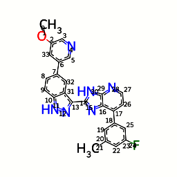 COc1cncc(-c2ccc3[nH]nc(-c4nc5c(-c6cc(C)cc(F)c6)ccnc5[nH]4)c3c2)c1